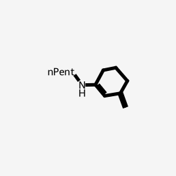 C=C1C=C(NCCCCC)CCC1